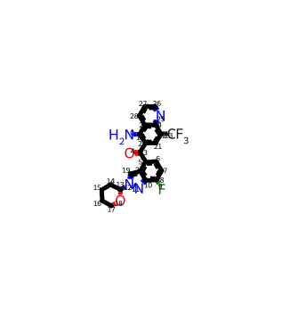 Nc1c(C(=O)c2ccc(F)c3nn(C4CCCCO4)cc23)cc(C(F)(F)F)c2ncccc12